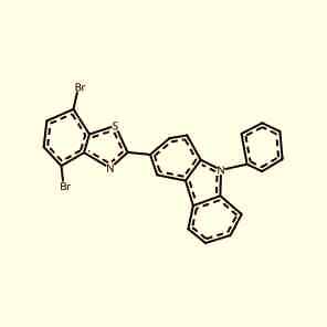 Brc1ccc(Br)c2sc(-c3ccc4c(c3)c3ccccc3n4-c3ccccc3)nc12